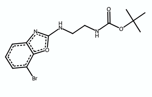 CC(C)(C)OC(=O)NCCNc1nc2cccc(Br)c2o1